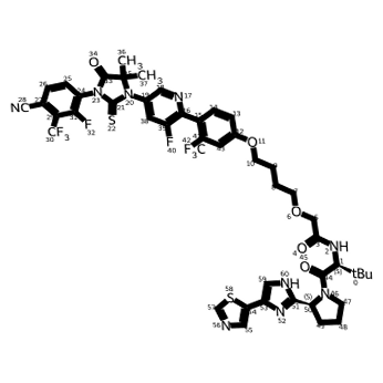 CC(C)(C)[C@H](NC(=O)COCCCCOc1ccc(-c2ncc(N3C(=S)N(c4ccc(C#N)c(C(F)(F)F)c4F)C(=O)C3(C)C)cc2F)c(C(F)(F)F)c1)C(=O)N1CCC[C@H]1c1nc(-c2cncs2)c[nH]1